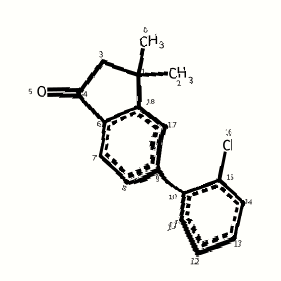 CC1(C)CC(=O)c2ccc(-c3ccccc3Cl)cc21